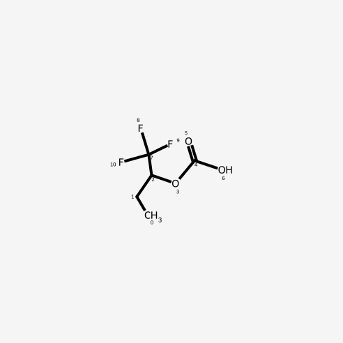 CCC(OC(=O)O)C(F)(F)F